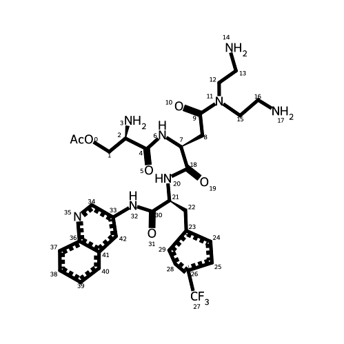 CC(=O)OC[C@@H](N)C(=O)N[C@@H](CC(=O)N(CCN)CCN)C(=O)N[C@@H](Cc1ccc(C(F)(F)F)cc1)C(=O)Nc1cnc2ccccc2c1